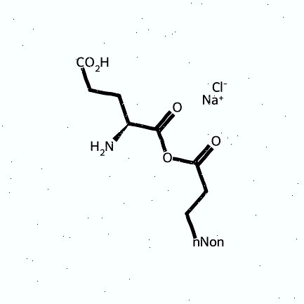 CCCCCCCCCCCC(=O)OC(=O)[C@@H](N)CCC(=O)O.[Cl-].[Na+]